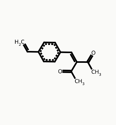 C=Cc1ccc(C=C(C(C)=O)C(C)=O)cc1